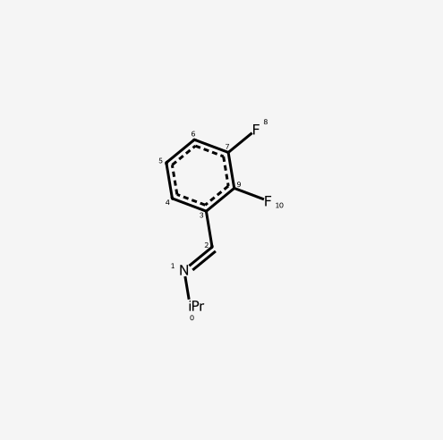 CC(C)/N=C/c1cccc(F)c1F